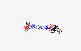 COc1cc2nn(C3CCC(N4CCC5([CH]CN(C(=O)OC(C)(C)C)CC5)CC4)CC3)cc2cc1[N+](=O)[O-]